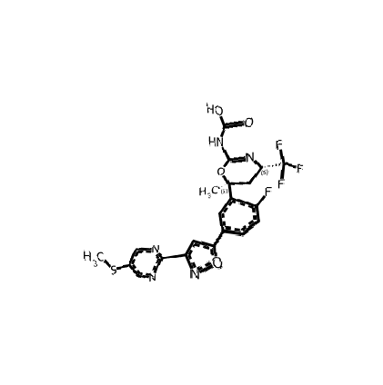 CSc1cnc(-c2cc(-c3ccc(F)c([C@]4(C)C[C@@H](C(F)(F)F)N=C(NC(=O)O)O4)c3)on2)nc1